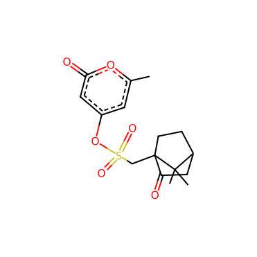 Cc1cc(OS(=O)(=O)CC23CCC(CC2=O)C3(C)C)cc(=O)o1